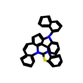 C1=Cc2ccc3c(c2N(C2Nc4ccccc4S2)c2ccccc21)c1ccccc1n3-c1cccc2ccccc12